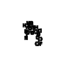 N#Cc1cncc(COc2cc(O[C@H]3CCc4c(-c5ccccc5F)cccc43)c(Cl)cc2CN[C@@H](CO)C(N)=O)c1